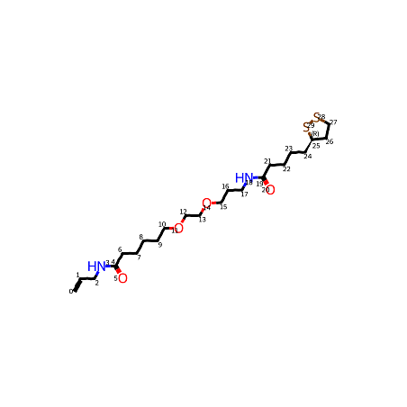 C=CCNC(=O)CCCCCOCCOCCCNC(=O)CCCC[C@@H]1CCSS1